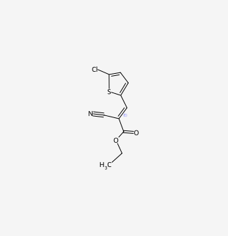 CCOC(=O)/C(C#N)=C/c1ccc(Cl)s1